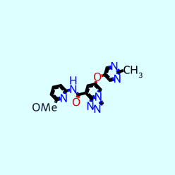 COc1cccc(NC(=O)c2cc(Oc3cnc(C)nc3)cn3cnnc23)n1